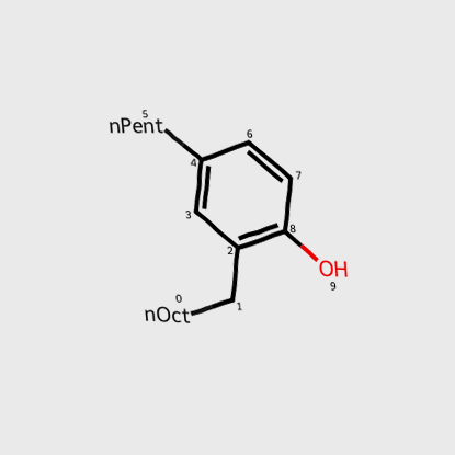 CCCCCCCCCc1cc(CCCCC)ccc1O